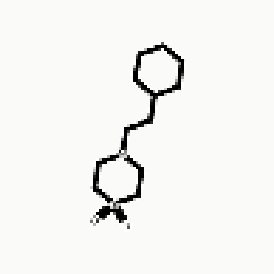 O=S1(=O)CCN(CCC2CCCCC2)CC1